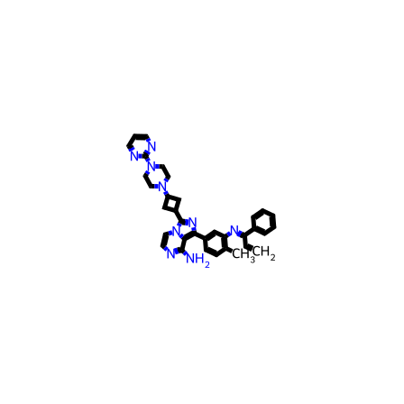 C=C/C(=N\c1cc(-c2nc(C3CC(N4CCN(c5ncccn5)CC4)C3)n3ccnc(N)c23)ccc1C)c1ccccc1